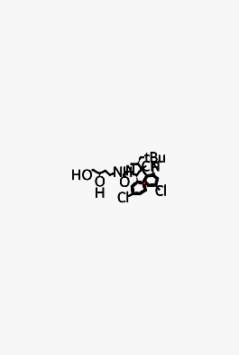 CC(C)(C)C[C@@H]1CN(C(=O)NCC[C@H](O)CO)[C@@H](c2cccc(Cl)c2)[C@@]1(C#N)c1ccc(Cl)cc1F